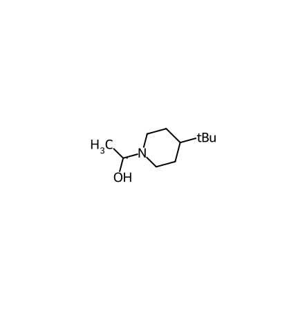 C[C](O)N1CCC(C(C)(C)C)CC1